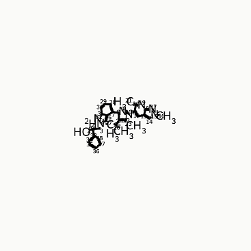 [2H][C@@](O)(Cn1cc2c(-c3nn(-c4cc5cn(C)nc5nc4C)c(C)c3C(C)C)cccc2n1)c1ccccc1